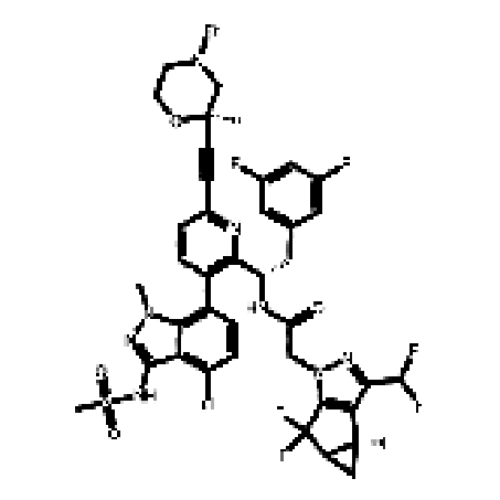 CCN1CCO[C@](C)(C#Cc2ccc(-c3ccc(Cl)c4c(NS(C)(=O)=O)nn(C)c34)c([C@H](Cc3cc(F)cc(F)c3)NC(=O)Cn3nc(C(F)F)c4c3C(F)(F)C3C[C@H]43)n2)C1